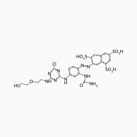 NC(=O)Nc1cc(Nc2nc(Cl)nc(NCCOCCO)n2)ccc1N=Nc1cc2c(S(=O)(=O)O)cc(S(=O)(=O)O)cc2cc1S(=O)(=O)O